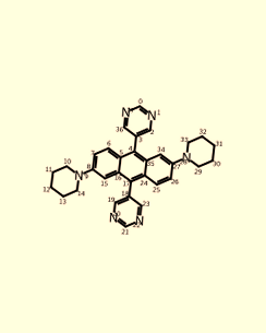 c1ncc(-c2c3ccc(N4CCCCC4)cc3c(-c3cncnc3)c3ccc(N4CCCCC4)cc23)cn1